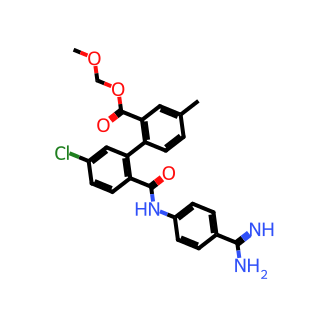 COCOC(=O)c1cc(C)ccc1-c1cc(Cl)ccc1C(=O)Nc1ccc(C(=N)N)cc1